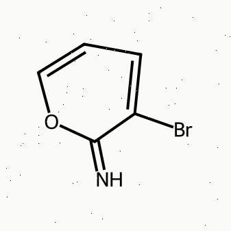 N=c1occcc1Br